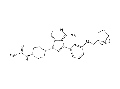 CC(=O)N[C@H]1CC[C@H](n2cc(-c3cccc(OCC45CCC(CC4)O5)c3)c3c(N)ncnc32)CC1